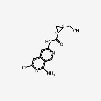 N#CC[C@H]1C[C@@H]1C(=O)Nc1cc2cc(Cl)nc(N)c2cn1